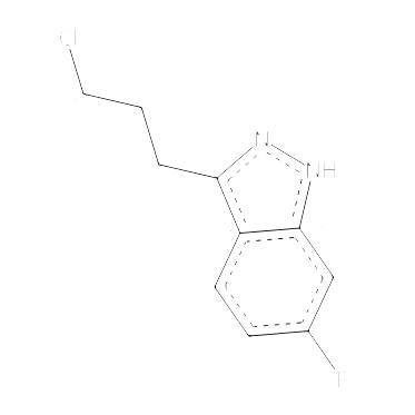 Fc1ccc2c(CCCCl)n[nH]c2c1